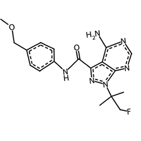 COCc1ccc(NC(=O)c2nn(C(C)(C)CF)c3ncnc(N)c23)cc1